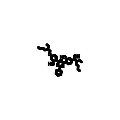 CCCCC(CC)COc1ccc(-c2nc(-c3ccccc3)nc(-c3ccc(C(O)C(CC)CCCC)cc3O)n2)c(O)c1